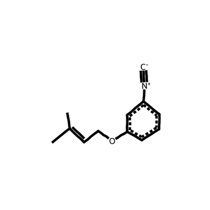 [C-]#[N+]c1cccc(OCC=C(C)C)c1